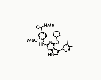 CNC(=O)c1ccc(Nc2nc(OC3CCCC3)c3c(-c4ccc(C)c(C)c4)c[nH]c3n2)c(OC)c1